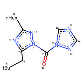 CCCCCCc1nc(CC(C)(C)C)n(C(=O)n2cncn2)n1